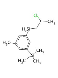 Cc1cc([SiH2]CC(C)Cl)cc([Si](C)(C)C)c1